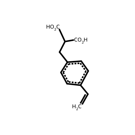 C=Cc1ccc(CC(C(=O)O)C(=O)O)cc1